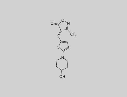 O=C1ON=C(C(F)(F)F)/C1=C\c1ccc(N2CCC(O)CC2)s1